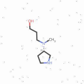 CN(CCCO)[C@H]1CCNC1